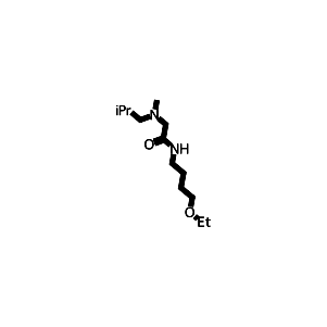 CCOCCCCNC(=O)CN(C)CC(C)C